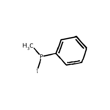 CP(I)c1ccccc1